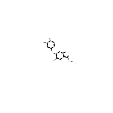 C[S+]([O-])Nc1noc2cc(Oc3ccc(Cl)c(Cl)c3)c(Cl)cc12